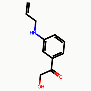 C=CCNc1cccc(C(=O)CO)c1